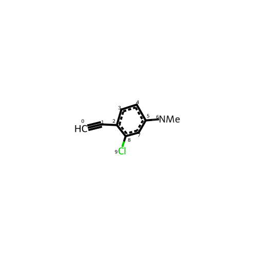 C#Cc1ccc(NC)cc1Cl